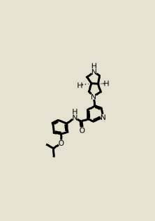 CC(C)Oc1cccc(NC(=O)c2cncc(N3C[C@H]4CNC[C@H]4C3)c2)c1